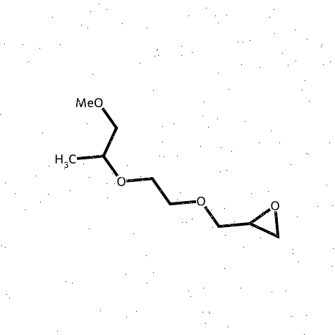 COCC(C)OCCOCC1CO1